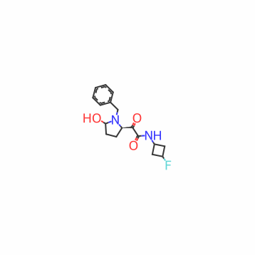 O=C(NC1CC(F)C1)C(=O)[C@H]1CCC(O)N1Cc1ccccc1